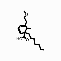 CCCCCCCC1(C(=O)O)C=CC=C(CCOC)C1C